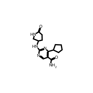 NC(=O)c1cnc(NC2CCC(=O)NC2)nc1C1CCCC1